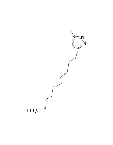 Cn1cc(CCCCCCCCCC(=O)O)nn1